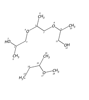 CC(O)COC(C)COC(C)CO.CCC(C)OC